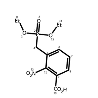 CCOP(=O)(Cc1cccc(C(=O)O)c1[N+](=O)[O-])OCC